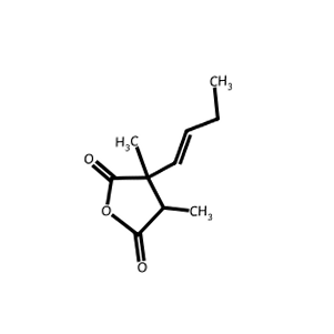 CCC=CC1(C)C(=O)OC(=O)C1C